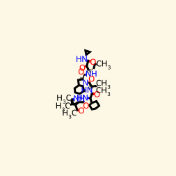 CCC[C@H](NC(=O)[C@@H]1CC2CCCCC2N1C(=O)[C@@H](NC(=O)C(NC(=O)c1[nH]c(C)c(C)c1C(C)=O)C1CCCCC1)C(C)C)C(=O)C(=O)NC1CC1